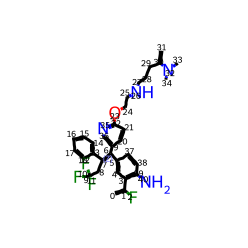 C=C(F)c1cc(/C(=C(\CC(F)(F)F)c2ccccc2)c2ccc(OCCNCCCC(=C)N(C)C)nc2)ccc1N